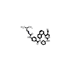 CN(C)C/C=C/C(=O)Nc1ccc(C(=O)N[C@H]2CCC[C@@H](Nc3ncc(C#N)c(-c4cc#cc5ccccc45)n3)C2)nc1